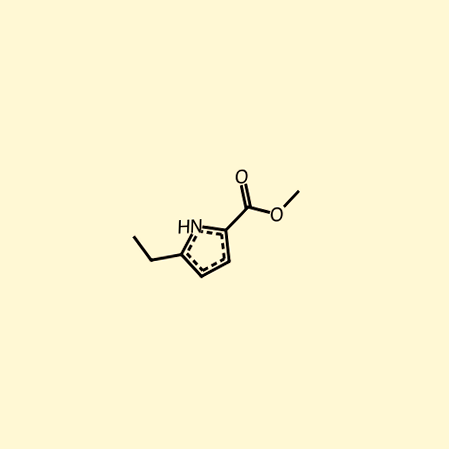 CCc1ccc(C(=O)OC)[nH]1